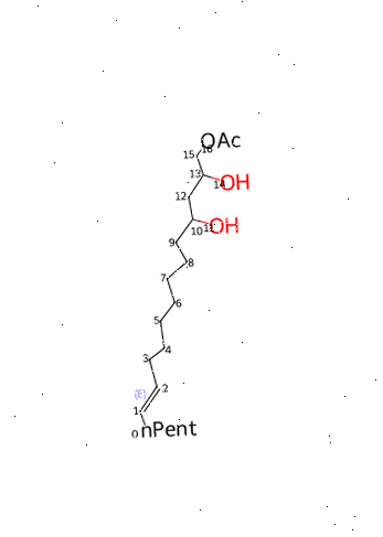 CCCCC/C=C/CCCCCCCC(O)CC(O)COC(C)=O